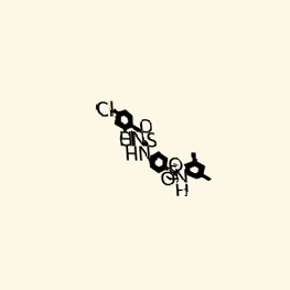 Cc1cc(C)cc(NS(=O)(=O)c2ccc(NC(=S)NC(=O)c3ccc(Cl)cc3Cl)cc2)c1